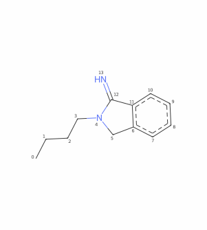 CCCCN1Cc2ccccc2C1=N